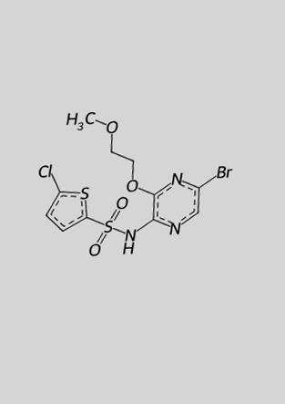 COCCOc1nc(Br)cnc1NS(=O)(=O)c1ccc(Cl)s1